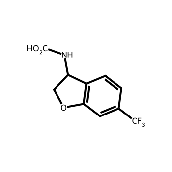 O=C(O)NC1COc2cc(C(F)(F)F)ccc21